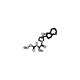 CC(C)(C)OC(=O)NC(C(=O)N1CC[C@@](O)(c2ccc3ccccc3c2)C1)C(C)(C)C